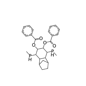 CPC1C(OC(=O)c2ccccc2)C(OC(=O)c2ccccc2)C(PC)C2C3CCC(C3)C12